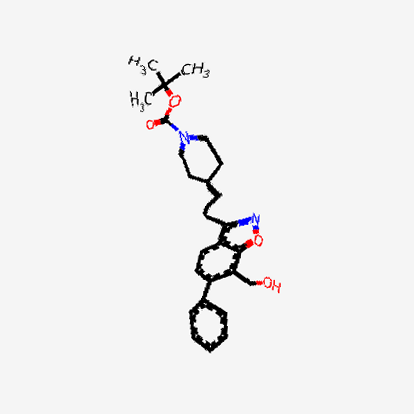 CC(C)(C)OC(=O)N1CCC(CCc2noc3c(CO)c(-c4ccccc4)ccc23)CC1